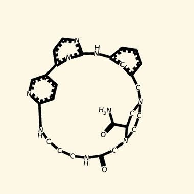 NC(=O)C1CN2CCN1CC(=O)NCCCNc1ccc(cn1)-c1ccnc(n1)Nc1cccc(c1)C2